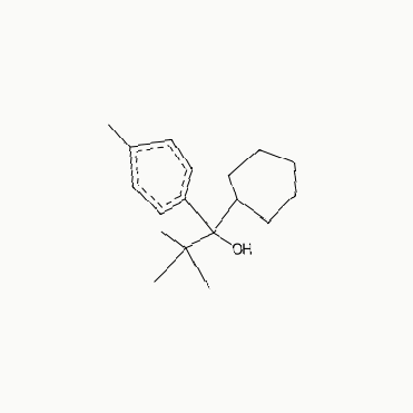 Cc1ccc(C(O)(C2CCCCC2)C(C)(C)C)cc1